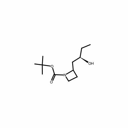 CC[C@@H](O)CC1CCN1C(=O)OC(C)(C)C